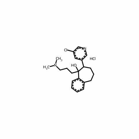 CN(C)CCCC1(O)c2ccccc2CCCC1c1cncc(Cl)c1.Cl